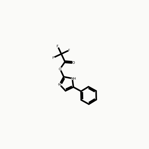 O=C(OC1=[N+]C=C(c2ccccc2)N1)C(F)(F)F